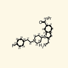 CCCC(=O)c1ccc2cc(CN)n(C3CCN(CCc4ccc(F)cc4)CC3)c2c1